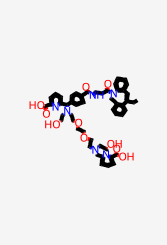 CC/C1=C/c2ccccc2N(C(=O)CCNC(=O)c2ccc(C(c3cccc(C(=O)O)n3)N(CCO)CCOCCOCCN(CCO)Cc3cccc(C(=O)O)n3)cc2)Cc2ccccc21